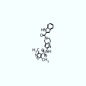 Cc1noc(C)c1S(=O)(=O)Nc1cc2n(n1)CCN(C(=O)c1cc3ccccc3[nH]1)C2